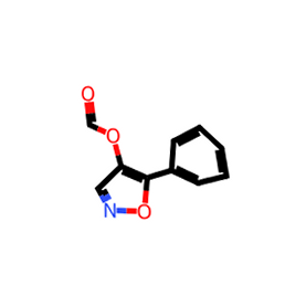 O=COc1cnoc1-c1ccccc1